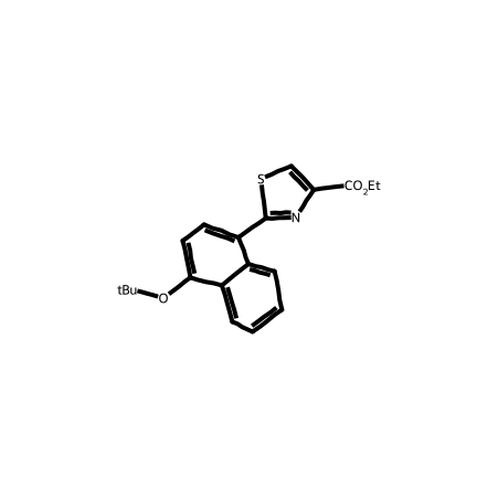 CCOC(=O)c1csc(-c2ccc(OC(C)(C)C)c3ccccc23)n1